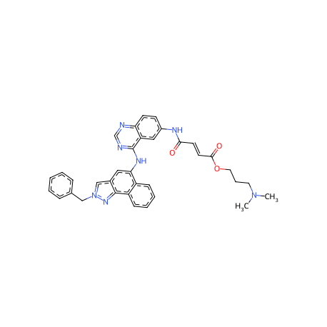 CN(C)CCCOC(=O)C=CC(=O)Nc1ccc2ncnc(Nc3cc4cn(Cc5ccccc5)nc4c4ccccc34)c2c1